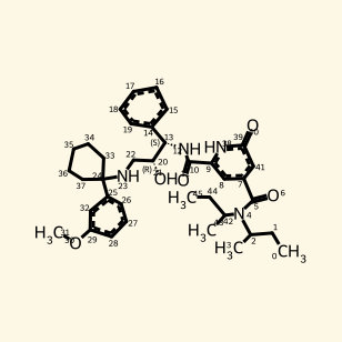 CCC(C)N(C(=O)c1cc(C(=O)N[C@@H](c2ccccc2)[C@H](O)CNC2(c3cccc(OC)c3)CCCCC2)[nH]c(=O)c1)C(C)CC